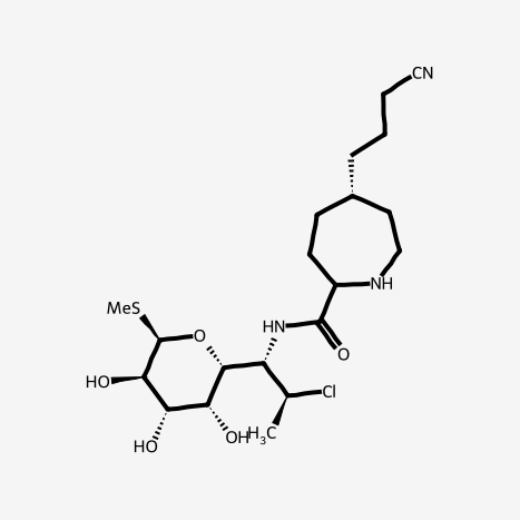 CS[C@H]1O[C@H]([C@H](NC(=O)C2CC[C@H](CCCC#N)CCN2)[C@H](C)Cl)[C@H](O)[C@H](O)[C@H]1O